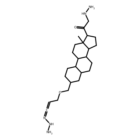 CC12CCC3C4CCC(COCC=C=NNN)CC4CCC3C1CCC2C(=O)CNN